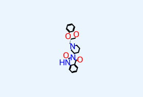 O=c1[nH]c2ccccc2c(=O)n1[C@H]1CCCN(C[C@H]2COc3ccccc3O2)C1